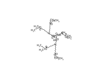 CCCCCC(CC)OC(=O)CCCCCCCCN(CCCCCCCCC(=O)OC(CC)CCCCC)CCCNC(=O)c1cc(C(=O)NCCCN(C)CCCC(=O)OC(C)C)cc(C(=O)NCCCN(CCCCCCCCC(=O)OC(CC)CCCCC)CCCCCCCCC(=O)OC(CC)CCCCC)c1